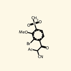 COc1c(S(C)(=O)=O)ccc(C(=O)C(C#N)C(C)=O)c1Br